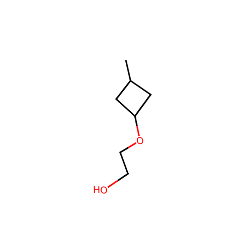 CC1CC(OCCO)C1